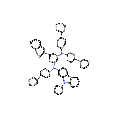 c1ccc(-c2ccc(N(c3ccc(-c4ccccc4)cc3)c3cc(-c4ccc5ccccc5c4)cc(N(c4ccc(-c5ccccc5)cc4)c4ccc5c6ccccc6n(-c6ccccc6)c5c4)c3)cc2)cc1